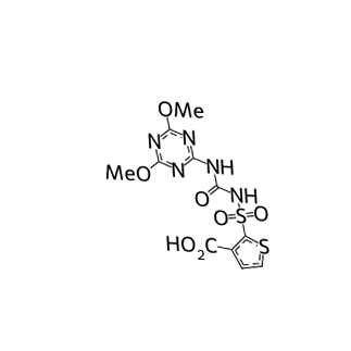 COc1nc(NC(=O)NS(=O)(=O)c2sccc2C(=O)O)nc(OC)n1